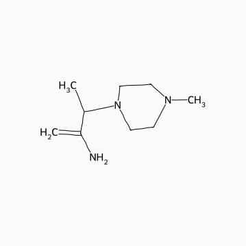 C=C(N)C(C)N1CCN(C)CC1